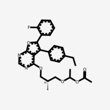 CCc1ccc(-c2c(-c3ccccc3F)oc3ncnc(OC[C@@H](C)COC(C)OC(C)=O)c23)cc1